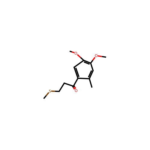 COc1cc(C)c(C(=O)CCSC)cc1OC